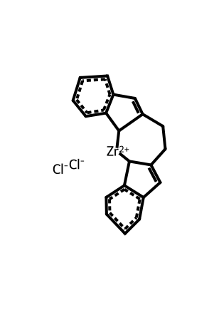 C1=C2CCC3=Cc4ccccc4[CH]3[Zr+2][CH]2c2ccccc21.[Cl-].[Cl-]